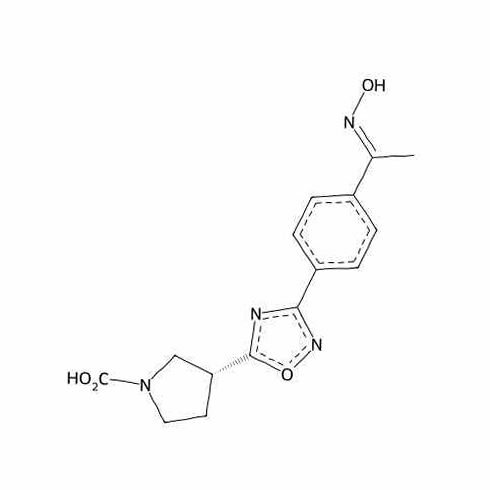 CC(=NO)c1ccc(-c2noc([C@@H]3CCN(C(=O)O)C3)n2)cc1